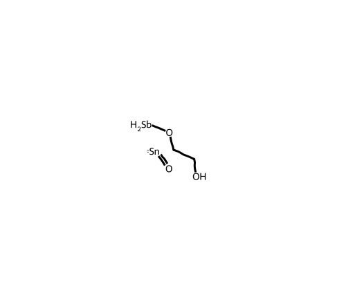 OCC[O][SbH2].[O]=[Sn]